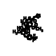 C=C(C[C@H](Cc1ccc(C(F)(F)F)cc1)NC(=O)c1csc([C@@H](CC(C(C)C)N(C)C(=O)CC2CSC2)OC(C)=O)n1)C(=O)O